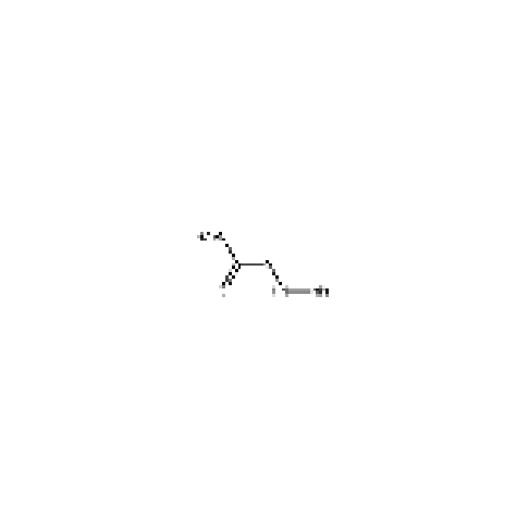 CCCNSC(=O)[N]C